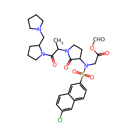 CC(C(=O)N1CCCC1CN1CCCC1)N1CCC(N(CC(=O)OC=O)S(=O)(=O)c2ccc3cc(Cl)ccc3c2)C1=O